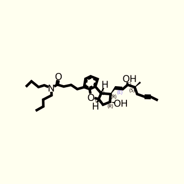 CC#CC[C@H](C)[C@H](O)/C=C/[C@@H]1[C@H]2c3cccc(CCCC(=O)N(CCCC)CCCC)c3O[C@H]2C[C@H]1O